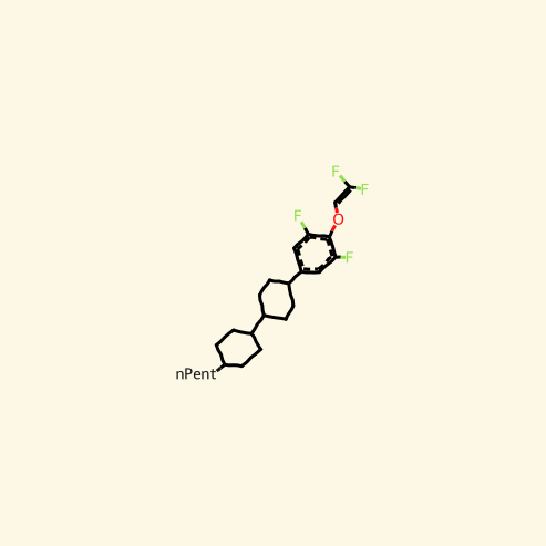 CCCCCC1CCC(C2CCC(c3cc(F)c(OC=C(F)F)c(F)c3)CC2)CC1